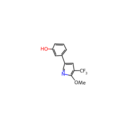 COc1ncc(-c2cccc(O)c2)cc1C(F)(F)F